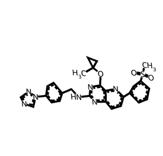 CC1(Oc2nc(NCc3ccc(-n4cncn4)cc3)nc3ccc(-c4cccc(S(C)(=O)=O)c4)nc23)CC1